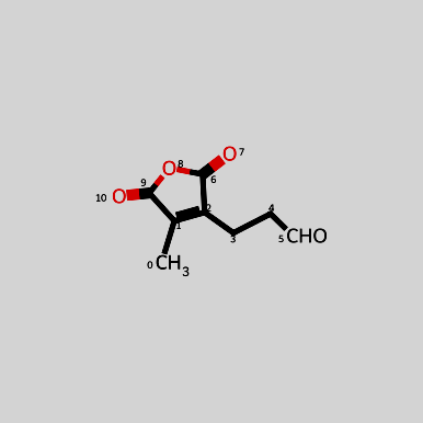 CC1=C(CCC=O)C(=O)OC1=O